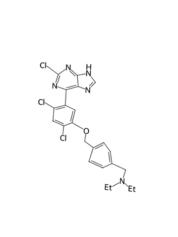 CCN(CC)Cc1ccc(COc2cc(-c3nc(Cl)nc4[nH]cnc34)c(Cl)cc2Cl)cc1